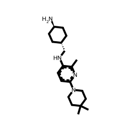 Cc1nc(N2CCC(C)(C)CC2)ccc1NC[C@H]1CC[C@H](N)CC1